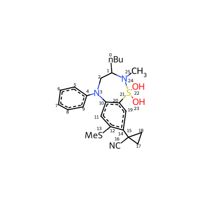 CCCCC1CN(c2ccccc2)c2cc(SC)c(C3(C#N)CC3)cc2S(O)(O)N1C